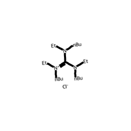 CCCCN(CC)C(N(CC)CCCC)=[N+](CC)CCCC.[Cl-]